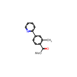 COC(=O)c1ccc(-c2ccccn2)cc1C